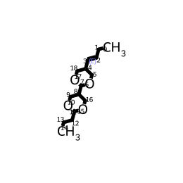 CC/C=C/C1COC(C2COC(CCC)OC2)OC1